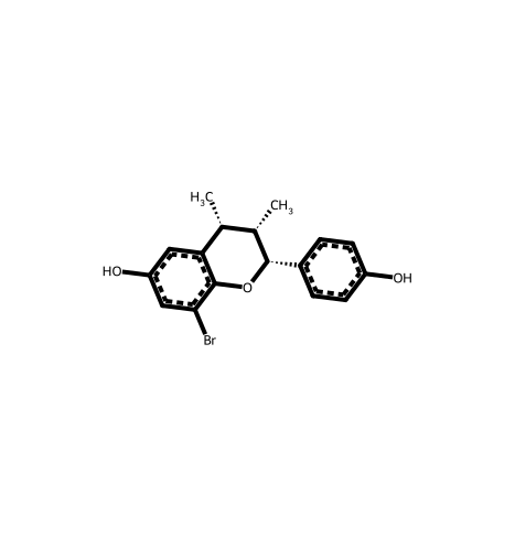 C[C@H]1[C@@H](C)c2cc(O)cc(Br)c2O[C@H]1c1ccc(O)cc1